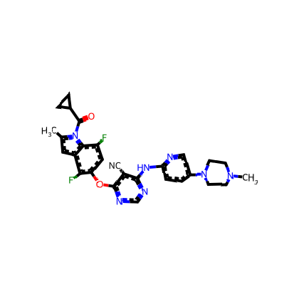 Cc1cc2c(F)c(Oc3ncnc(Nc4ccc(N5CCN(C)CC5)cn4)c3C#N)cc(F)c2n1C(=O)C1CC1